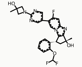 CC1(O)CN(c2ncc(-c3cn4c5c(nc4cc3F)[C@](C)(O)C[C@@H]5c3ccccc3OC(F)F)cn2)C1